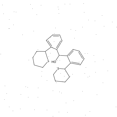 OC(c1ccccc1C1CCCCS1)c1ccccc1C1CCCCS1